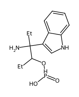 CCC(O[PH](=O)O)C(N)(CC)c1c[nH]c2ccccc12